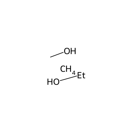 C.CCO.CO